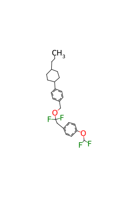 CCCC1CCC(c2ccc(COC(F)(F)Cc3ccc(OC(F)F)cc3)cc2)CC1